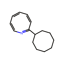 C1=CC=CC(C2CCCCCCC2)=NC=C1